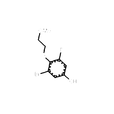 COCCOc1c(F)cc(C)cc1Br